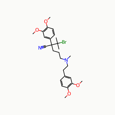 COc1ccc(CCN(C)CCCC(C#N)(c2ccc(OC)c(OC)c2)C(C)(C)Br)cc1OC